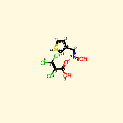 O=C(O)C(Cl)=C(Cl)Cl.ON=Cc1ccsc1